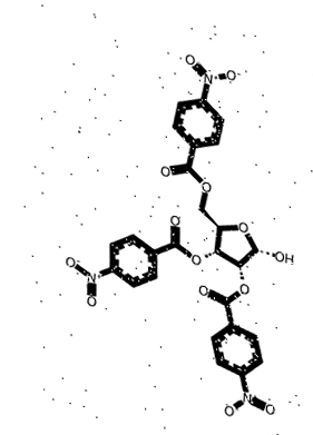 O=C(OC[C@H]1O[C@H](O)[C@H](OC(=O)c2ccc([N+](=O)[O-])cc2)[C@@H]1OC(=O)c1ccc([N+](=O)[O-])cc1)c1ccc([N+](=O)[O-])cc1